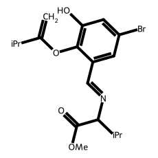 C=C(Oc1c(O)cc(Br)cc1C=NC(C(=O)OC)C(C)C)C(C)C